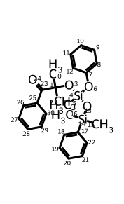 CC(C)(O[Si](C)(Oc1ccccc1)O[Si](C)(C)c1ccccc1)C(=O)c1ccccc1